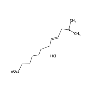 CCCCCCCCCCCCCCC=CCN(C)C.Cl